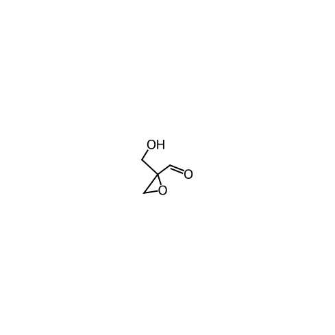 O=CC1(CO)CO1